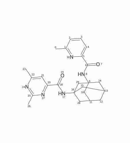 Cc1cccc(C(=O)NC23CC4CC(C2)CC(NC(=O)c2cc(C)nc(C)n2)(C4)C3)n1